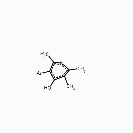 CC(=O)c1c(C)nc(C)c(C)c1O